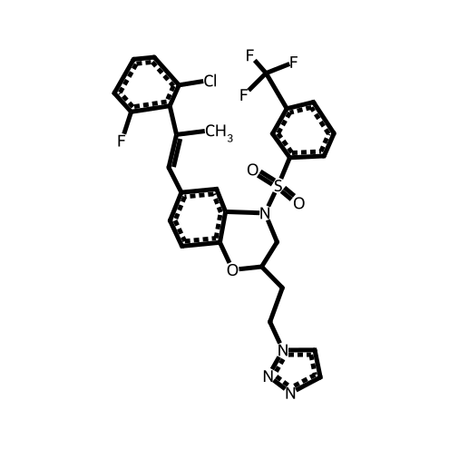 CC(=Cc1ccc2c(c1)N(S(=O)(=O)c1cccc(C(F)(F)F)c1)CC(CCn1ccnn1)O2)c1c(F)cccc1Cl